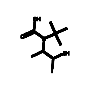 CC(C(S)I)N(C(=O)O)C(C)(C)C